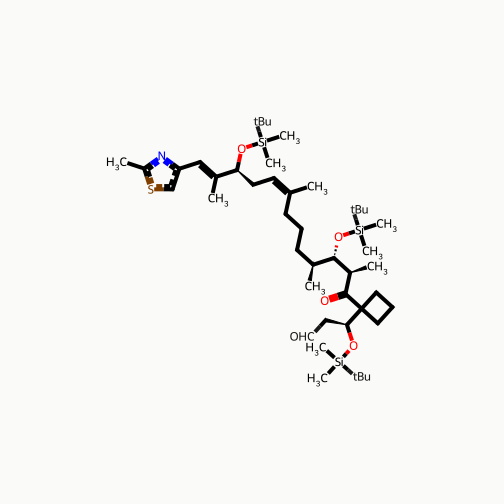 C/C(=C/C[C@H](O[Si](C)(C)C(C)(C)C)/C(C)=C/c1csc(C)n1)CCC[C@H](C)[C@H](O[Si](C)(C)C(C)(C)C)[C@@H](C)C(=O)C1([C@H](CC=O)O[Si](C)(C)C(C)(C)C)CCC1